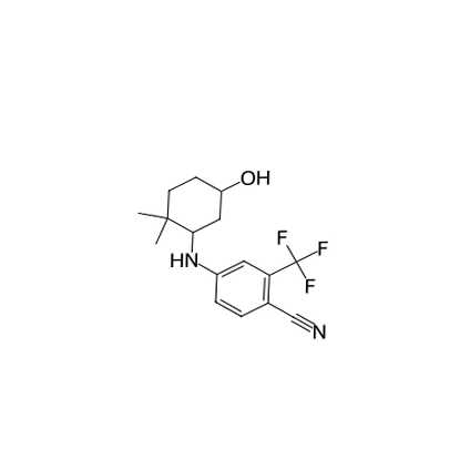 CC1(C)CCC(O)CC1Nc1ccc(C#N)c(C(F)(F)F)c1